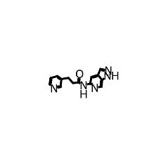 O=C(CCc1cccnc1)Nc1cc2cn[nH]c2cn1